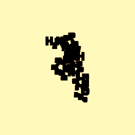 CC(C)Oc1ccc(-c2ccc(C(=O)NS(=O)(=O)c3cccc(N)n3)c(N3CCCCC3C)n2)cn1